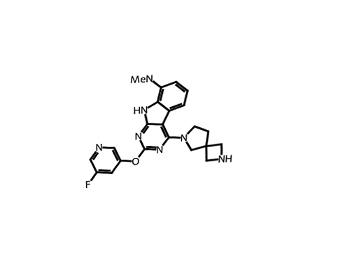 CNc1cccc2c1[nH]c1nc(Oc3cncc(F)c3)nc(N3CCC4(CNC4)C3)c12